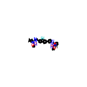 CC(C)(C)OC(=O)N1CC2(CC2)C[C@H]1c1ncc(-c2ccc3c(c2)C(F)(F)c2cc(-c4ccc5nc(C6C7CC[C@H](C7)N6C(=O)OC(C)(C)C)[nH]c5c4)ccc2-3)[nH]1